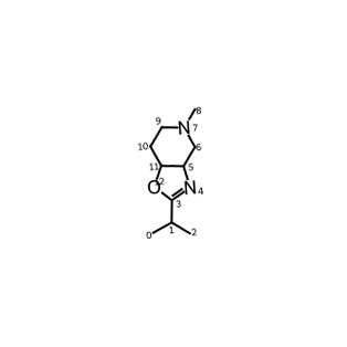 CC(C)C1=NC2CN(C)CCC2O1